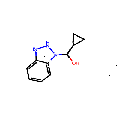 OC(C1CC1)N1NNc2ccccc21